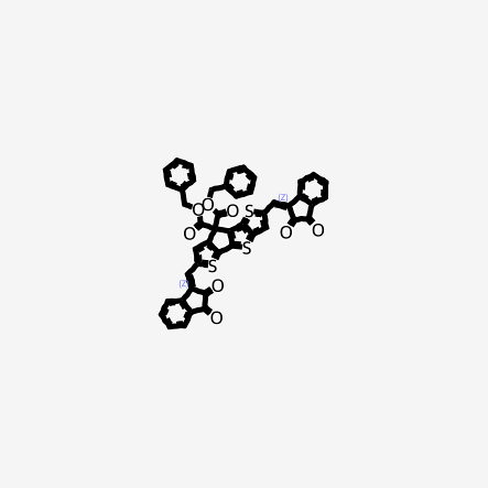 O=C1C(=O)c2ccccc2/C1=C/c1cc2c(s1)-c1sc3cc(/C=C4\C(=O)C(=O)c5ccccc54)sc3c1C2(C(=O)OCc1ccccc1)C(=O)OCc1ccccc1